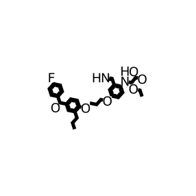 CCCc1cc(C(=O)c2ccc(F)cc2)ccc1OCCCOc1ccc(NC(OCC)C(=O)OC)c(C=N)c1